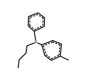 CCCCP(c1ccccc1)c1ccc(C)cc1